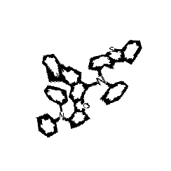 c1ccc(N(c2ccc3sc4ccccc4c3c2)c2c3ccc4ccccc4c3cc3c2oc2cccc(N(c4ccccc4)c4ccccc4)c23)cc1